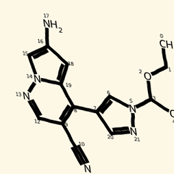 CCOC(C)n1cc(-c2c(C#N)cnn3cc(N)cc23)cn1